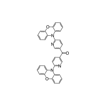 O=C(c1ccc(N2c3ccccc3Oc3ccccc32)nc1)c1ccc(N2c3ccccc3Oc3ccccc32)nc1